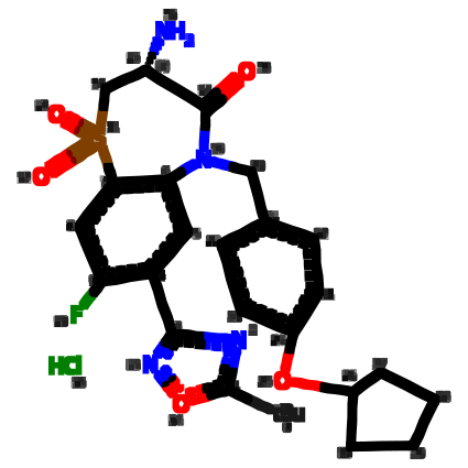 CC(C)(C)c1nc(-c2cc3c(cc2F)S(=O)(=O)C[C@H](N)C(=O)N3Cc2ccc(OC3CCCC3)cc2)no1.Cl